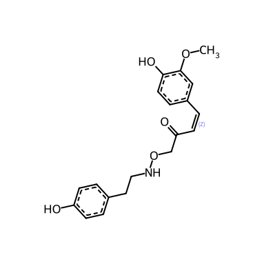 COc1cc(/C=C\C(=O)CONCCc2ccc(O)cc2)ccc1O